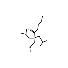 CCCCC(=O)C(COC)(CC(C)C)CC(C)C